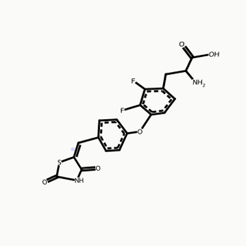 NC(Cc1ccc(Oc2ccc(/C=C3/SC(=O)NC3=O)cc2)c(F)c1F)C(=O)O